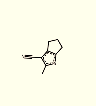 Cc1sc2c(c1C#N)CCC2